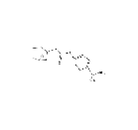 CC(N)c1ccc(OC(=O)CC2CC3C=CC2O3)cc1